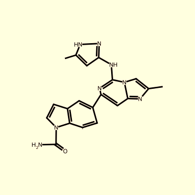 Cc1cn2c(Nc3cc(C)[nH]n3)nc(-c3c[c]c4c(ccn4C(N)=O)c3)cc2n1